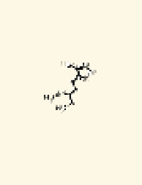 CCC(CCn1nnnc1S)OC